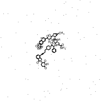 CCCC[C@H](NC(=O)c1cnc2ccc(C(F)(F)P(=O)(O)O)cc2c1)C(=O)N1CC2C(C)C2[C@H]1C(=O)N[C@@H](CCC(N)=O)C(=O)N[C@H](C(=O)N1CCC(CCC#Cc2cccc3c2CN(C2CCC(=O)NC2=O)C3=O)CC1)c1ccccc1